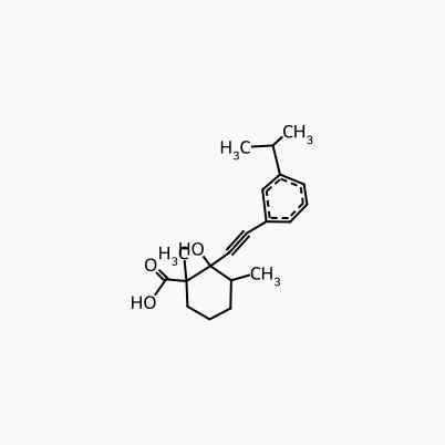 CC(C)c1cccc(C#CC2(O)C(C)CCCC2(C)C(=O)O)c1